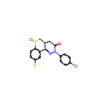 O=C1CC2C[S+]([O-])c3ccc(F)cc3C2=NN1c1ccc(Cl)cc1